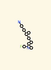 N#Cc1ccc(-c2ccc(-c3ccc(-c4ccc(-c5cccc6c5ccc5c(-c7ccc(F)cc7)nc7ccccc7c56)cc4)c4ccccc34)cc2)cc1